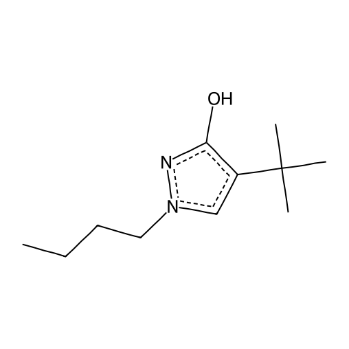 CCCCn1cc(C(C)(C)C)c(O)n1